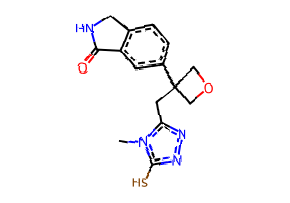 Cn1c(S)nnc1CC1(c2ccc3c(c2)C(=O)NC3)COC1